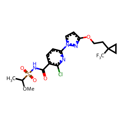 COC(C)S(=O)(=O)NC(=O)c1ccc(-n2ccc(OCCC3(C(F)(F)F)CC3)n2)nc1Cl